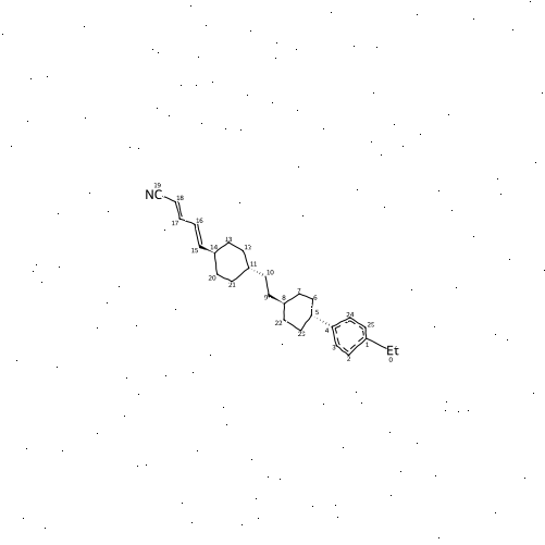 CCc1ccc([C@H]2CC[C@H](CC[C@H]3CC[C@H](C=CC=CC#N)CC3)CC2)cc1